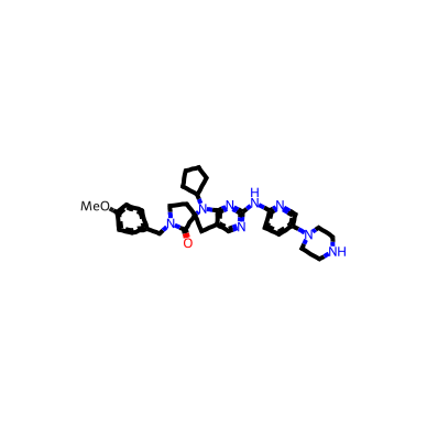 COc1ccc(CN2CCC3(Cc4cnc(Nc5ccc(N6CCNCC6)cn5)nc4N3C3CCCC3)C2=O)cc1